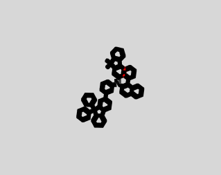 CC1(C)C2=C(C=CCC2)c2ccc(N(c3cccc(-c4ccc5c(c4)C(c4ccccc4)(c4ccccc4)c4ccccc4-5)c3)c3ccc4ccccc4c3-c3ccccc3)cc21